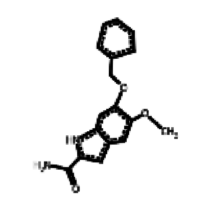 COc1cc2cc(C(N)=O)[nH]c2cc1OCc1ccccc1